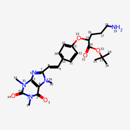 Cn1c(=O)c2c(nc(C=Cc3ccc(OC(CCCN)C(=O)OC(C)(C)C)cc3)n2C)n(C)c1=O